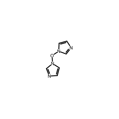 c1cn(On2ccnc2)cn1